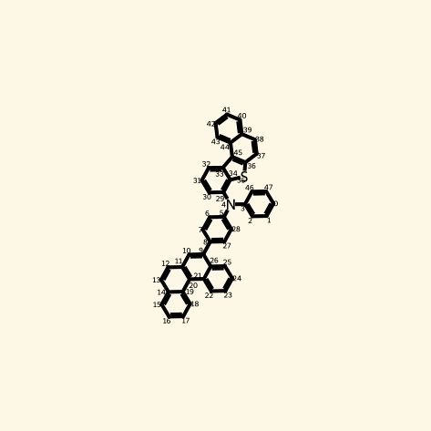 c1ccc(N(c2ccc(-c3cc4ccc5ccccc5c4c4ccccc34)cc2)c2cccc3c2sc2ccc4ccccc4c23)cc1